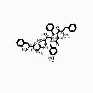 CC(C)[C@H](NC(=O)[C@@H](N)Cc1ccccc1)C(=O)N[C@@H](Cc1ccccc1)[C@@H](O)[C@H](O)[C@H](Cc1ccccc1)NC(=O)[C@@H](NC(=O)[C@@H](N)Cc1ccccc1)C(C)C.Cl.Cl